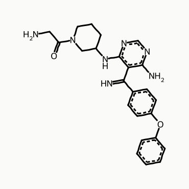 N=C(c1ccc(Oc2ccccc2)cc1)c1c(N)ncnc1NC1CCCN(C(=O)CN)C1